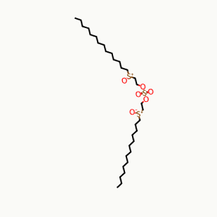 CCCCCCCCCCCCCC[S+]([O-])CCOS(=O)(=O)OCC[S+]([O-])CCCCCCCCCCCCCC